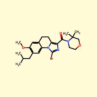 COc1cc2c(cc1CC(C)C)-n1c(Br)nc(C(=O)N3CCOCC3(C)C)c1CC2